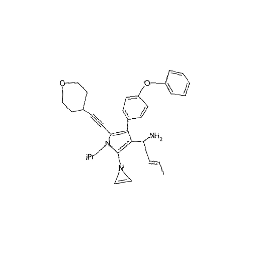 C/C=C/C(N)c1c(-c2ccc(Oc3ccccc3)cc2)c(C#CC2CCOCC2)n(C(C)C)c1N1C=C1